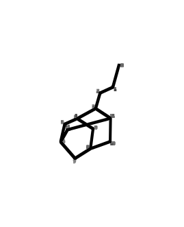 CCCC1[C]2CC3CC(C2)CC1C3